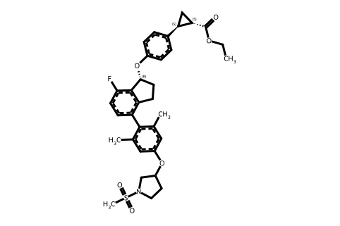 CCOC(=O)[C@H]1C[C@@H]1c1ccc(O[C@@H]2CCc3c(-c4c(C)cc(OC5CCN(S(C)(=O)=O)C5)cc4C)ccc(F)c32)cc1